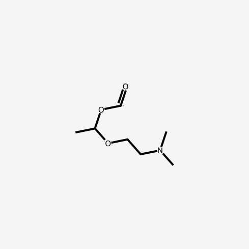 CC(O[C]=O)OCCN(C)C